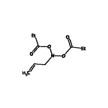 C=CCN(OC(=O)CC)OC(=O)CC